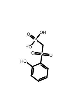 O=P(O)(O)CS(=O)(=O)c1ccccc1O